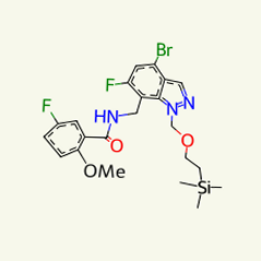 COc1ccc(F)cc1C(=O)NCc1c(F)cc(Br)c2cnn(COCC[Si](C)(C)C)c12